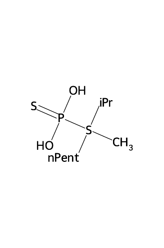 CCCCCS(C)(C(C)C)P(O)(O)=S